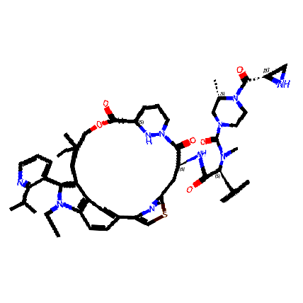 CCn1c(-c2cccnc2C(C)C)c2c3cc(ccc31)-c1csc(n1)C[C@H](NC(=O)[C@H](C(C)C)N(C)C(=O)N1CCN(C(=O)[C@@H]3CN3)[C@@H](C)C1)C(=O)N1CCC[C@H](N1)C(=O)OCC(C)(C)C2